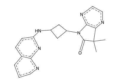 CC1(C)C(=O)N(C2CC(Nc3ccc4cccnc4n3)C2)c2nccnc21